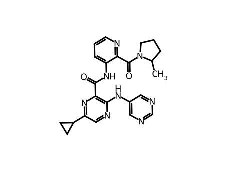 CC1CCCN1C(=O)c1ncccc1NC(=O)c1nc(C2CC2)cnc1Nc1cncnc1